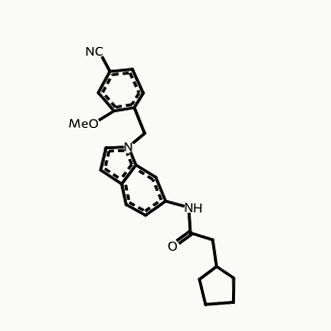 COc1cc(C#N)ccc1Cn1ccc2ccc(NC(=O)CC3CCCC3)cc21